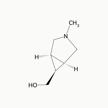 CN1C[C@@H]2[C@H](CO)[C@@H]2C1